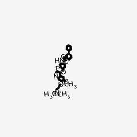 COc1cc2c(Oc3ccc(NS(=O)(=O)c4cccc(-c5ccccc5)c4)cc3F)ccnc2cc1OCCCN(C)C